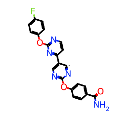 NC(=O)c1ccc(Oc2n[c]c(-c3ccnc(Oc4ccc(F)cc4)n3)cn2)cc1